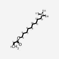 C=CC(=O)OCCCCCCCCC[Si](I)(I)I